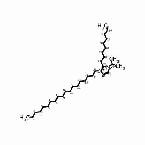 CCCCCCCCCCCCCCCCCCC[n+]1ccn(C(C)C)c1CCCCCCCCC